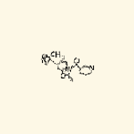 Cc1cc(-c2cnoc2C)ccc1NC(=O)c1cccnc1